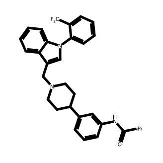 CC(C)C(=O)Nc1cccc(C2CCN(Cc3cn(-c4ccccc4C(F)(F)F)c4ccccc34)CC2)c1